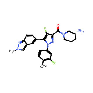 Cn1cc2cc(-c3c(F)c(C(=O)N4CCC[C@@H](N)C4)nn3-c3ccc(C#N)c(F)c3)ccc2n1